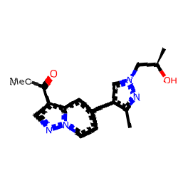 COC(=O)c1cnn2ccc(-c3cn(C[C@@H](C)O)nc3C)cc12